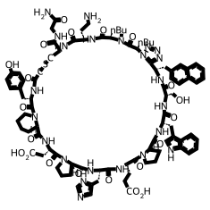 CCCC[C@H]1C(=O)N[C@@H](CCN)C(=O)NC(C(=O)NCC(N)=O)CSCC(=O)N[C@@H](Cc2ccc(O)cc2)C(=O)N2CCCC[C@H]2C(=O)N[C@@H](CC(=O)O)C(=O)N2CCC[C@H]2C(=O)N[C@@H](Cc2cnc[nH]2)C(=O)N[C@@H](CCC(=O)O)C(=O)N2CCC[C@H]2C(=O)N[C@@H](Cc2c[nH]c3ccccc23)C(=O)N[C@@H](CO)C(=O)N[C@@H](Cc2ccc3ccccc3c2)c2nnnn2[C@@H](CCCC)C(=O)N1C